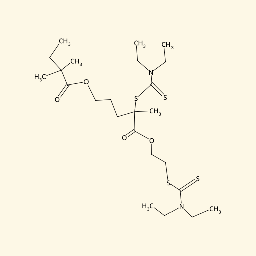 CCN(CC)C(=S)SCCOC(=O)C(C)(CCCOC(=O)C(C)(C)CC)SC(=S)N(CC)CC